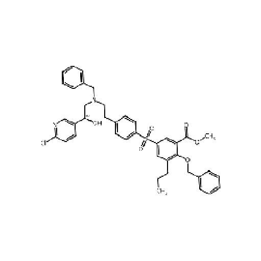 CCCc1cc(S(=O)(=O)c2ccc(CCN(Cc3ccccc3)C[C@@H](O)c3ccc(Cl)nc3)cc2)cc(C(=O)OC)c1OCc1ccccc1